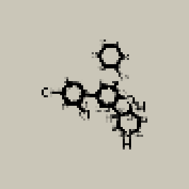 Clc1ccc(-c2cc(SC3CCCCC3)c3c(c2)[C@@H]2CNCC[C@@H]2O3)c(Cl)c1